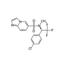 CN([C@H](c1ccc(Cl)cc1)C(F)(F)F)S(=O)(=O)c1ccc2nccn2c1